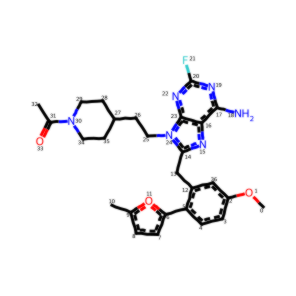 COc1ccc(-c2ccc(C)o2)c(Cc2nc3c(N)nc(F)nc3n2CCC2CCN(C(C)=O)CC2)c1